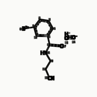 [B+2]c1cccc(C(=O)NCCC#N)c1.[OH-].[OH-]